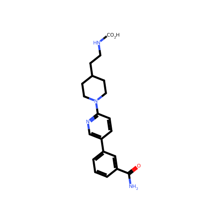 NC(=O)c1cccc(-c2ccc(N3CCC(CCNC(=O)O)CC3)nc2)c1